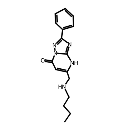 CCCCNCc1cc(=O)n2nc(-c3ccccc3)nc2[nH]1